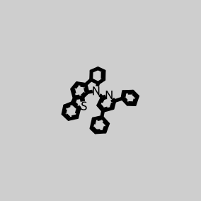 C1=CC2C(CC1)c1ccc3c(sc4ccccc43)c1N2c1cc(-c2ccccc2)cc(-c2ccccc2)n1